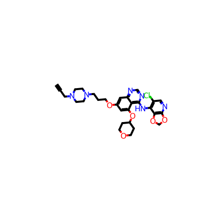 C#CCN1CCN(CCCOc2cc(OC3CCOCC3)c3c(Nc4c(Cl)cnc5c4OCO5)ncnc3c2)CC1